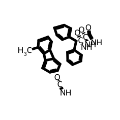 Cc1cccc2c1-c1ccccc1-2.N=C=O.N=C=O.N=C=O.N=C=O.c1ccc(Cc2ccccc2)cc1